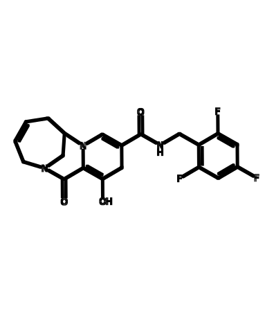 O=C(NCc1c(F)cc(F)cc1F)C1=CN2C(=C(O)C1)C(=O)N1CC=CCC2C1